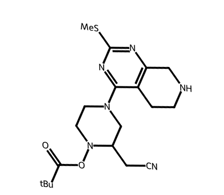 CSc1nc2c(c(N3CCN(OC(=O)C(C)(C)C)C(CC#N)C3)n1)CCNC2